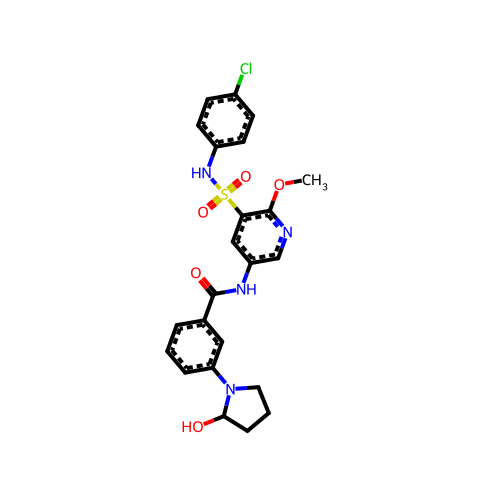 COc1ncc(NC(=O)c2cccc(N3CCCC3O)c2)cc1S(=O)(=O)Nc1ccc(Cl)cc1